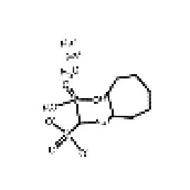 O.O=P([O-])([O-])C(NC1CCCCCC1)P(=O)(O)O.[Na+].[Na+]